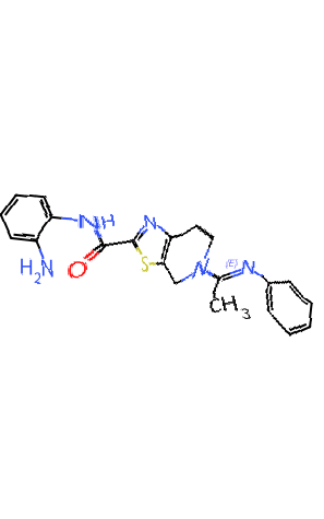 C/C(=N\c1ccccc1)N1CCc2nc(C(=O)Nc3ccccc3N)sc2C1